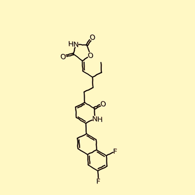 CCC(C=C1OC(=O)NC1=O)CCc1ccc(-c2ccc3cc(F)cc(F)c3c2)[nH]c1=O